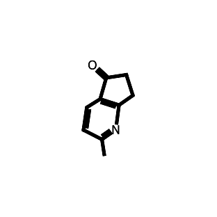 Cc1ccc2c(n1)CCC2=O